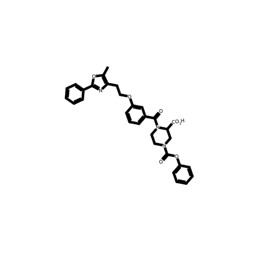 Cc1oc(-c2ccccc2)nc1CCOc1cccc(C(=O)N2CCN(C(=O)Oc3ccccc3)CC2C(=O)O)c1